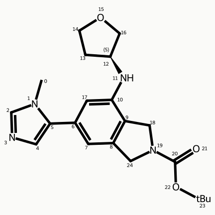 Cn1cncc1-c1cc2c(c(N[C@H]3CCOC3)c1)CN(C(=O)OC(C)(C)C)C2